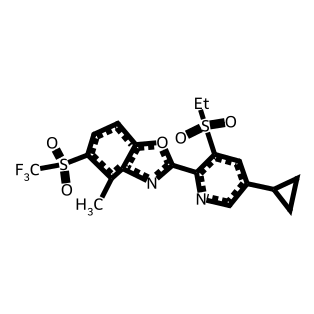 CCS(=O)(=O)c1cc(C2CC2)cnc1-c1nc2c(C)c(S(=O)(=O)C(F)(F)F)ccc2o1